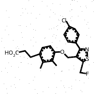 Cc1c(CCC(=O)O)ccc(OCc2c(-c3ccc(Cl)cc3)nsc2CF)c1C